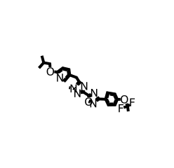 CC(C)COc1ccc(Cc2nc(-c3nc(-c4ccc(OC(C)(F)F)cc4)no3)nn2C)cn1